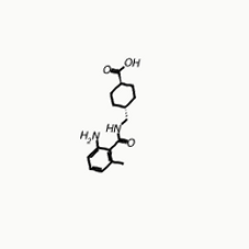 Cc1cccc(N)c1C(=O)NC[C@H]1CC[C@H](C(=O)O)CC1